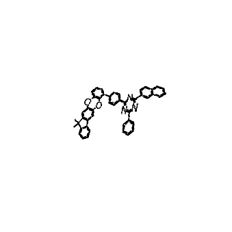 CC1(C)c2ccccc2-c2cc3c(cc21)Oc1cccc(-c2ccc(-c4nc(-c5ccccc5)nc(-c5ccc6ccccc6c5)n4)cc2)c1O3